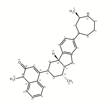 C[C@@H]1CC(c2ccc3c(c2)CN2[C@H](C)CN(c4cc(=O)n(C)c5ncccc45)C[C@H]32)CCCN1